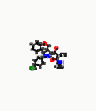 CC(C)(C)NC(=O)C(C#N)C(=O)c1nn(-c2ccc(Cl)cc2)c2c1COc1ccccc1-2